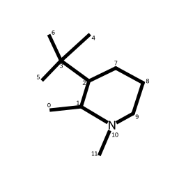 CC1C(C(C)(C)C)CCCN1C